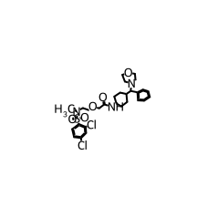 CN(CCOCC(=O)NC1CCC(C(c2ccccc2)N2CCOCC2)CC1)S(=O)(=O)c1ccc(Cl)cc1Cl